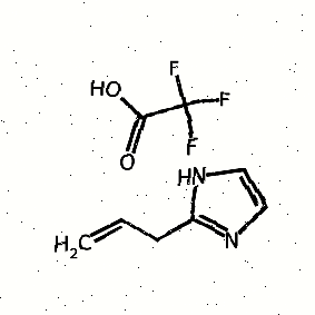 C=CCc1ncc[nH]1.O=C(O)C(F)(F)F